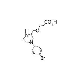 O=C(O)CCOCC1CN(c2ccc(Br)cc2)CCN1